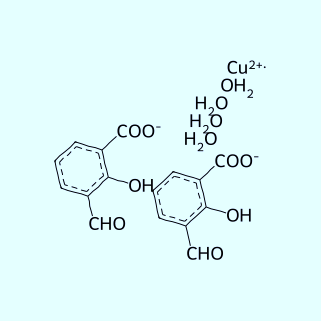 O.O.O.O.O=Cc1cccc(C(=O)[O-])c1O.O=Cc1cccc(C(=O)[O-])c1O.[Cu+2]